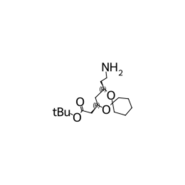 CC(C)(C)OC(=O)C[C@H]1C[C@@H](CCN)OC2(CCCCC2)O1